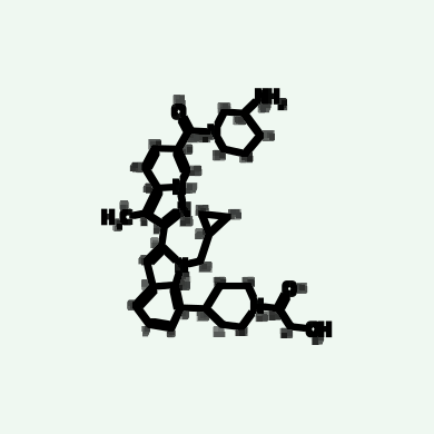 Cc1c(-c2cc3cccc(C4CCN(C(=O)CO)CC4)c3n2CC2CC2)nn2cc(C(=O)N3CCCC(N)C3)ccc12